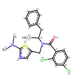 CCN(CC)c1ncc(CN(C(=O)c2ccc(Cl)cc2Cl)C(Cc2ccccc2)C(=O)O)s1